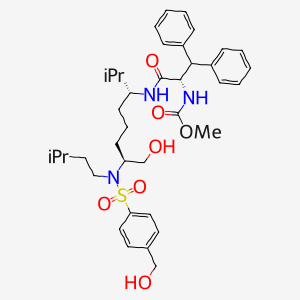 COC(=O)N[C@H](C(=O)N[C@H](CCC[C@@H](CO)N(CCC(C)C)S(=O)(=O)c1ccc(CO)cc1)C(C)C)C(c1ccccc1)c1ccccc1